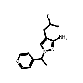 CC(c1ccncc1)n1cc(CC(F)F)c(N)n1